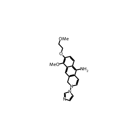 COCCOc1ccc2c(N)c3c(cc2c1OC)CN(n1ccnc1)C=C3